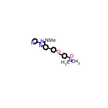 CNc1nc(-c2cccnc2)nc2ccc(-c3ccc(OCc4ccc(C(=O)N(C)C)cc4)cc3)cc12